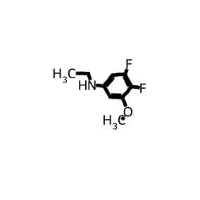 CCNc1cc(F)c(F)c(OC)c1